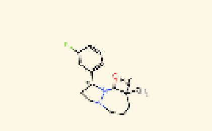 CC1(C)CCCN2CC[C@@H](c3cccc(F)c3)N2C1=O